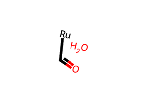 O.O=[CH][Ru]